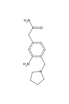 NC(=O)Cc1ccc(CN2CCCC2)c(N)c1